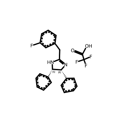 Fc1cccc(CC2=N[C@H](c3ccccc3)[C@H](c3ccccc3)N2)c1.O=C(O)C(F)(F)F